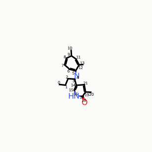 CCC/C(=N\C1=CC=CC(C)C=C1C)c1c[nH]c(=O)c(C)c1